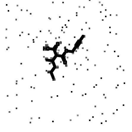 CC#CCOC(=O)C(C(=O)O)C(C)CCC